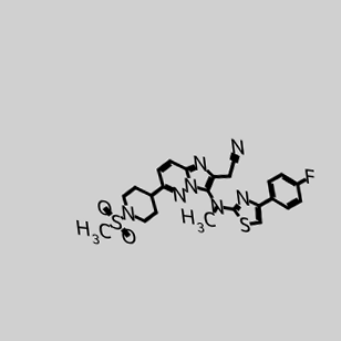 CN(c1nc(-c2ccc(F)cc2)cs1)c1c(CC#N)nc2ccc(C3CCN(S(C)(=O)=O)CC3)nn12